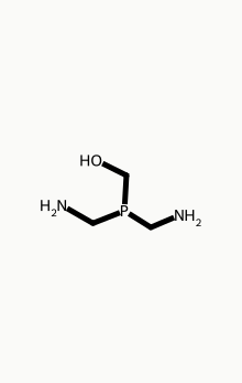 NCP(CN)CO